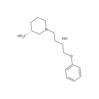 Cl.O=C(O)[C@@H]1CCCN(CCCCOc2ccccc2)C1